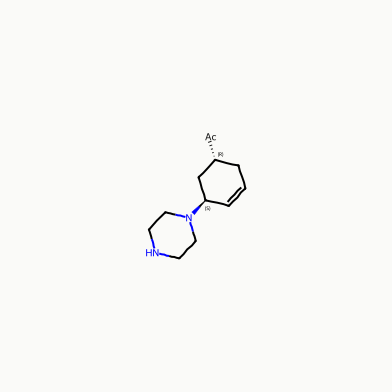 CC(=O)[C@@H]1CC=C[C@@H](N2CCNCC2)C1